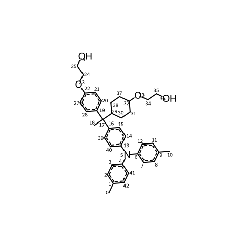 Cc1ccc(N(c2ccc(C)cc2)c2ccc(C(C)(c3ccc(OCCO)cc3)C3CCC(OCCO)CC3)cc2)cc1